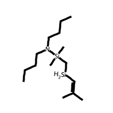 CCCCN(CCCC)[Si](C)(C)C[SiH2]C=C(C)C